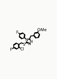 COc1cccc(Cc2nnc(SCc3ccc(F)cc3Cl)n2-c2ccc(F)cc2)c1